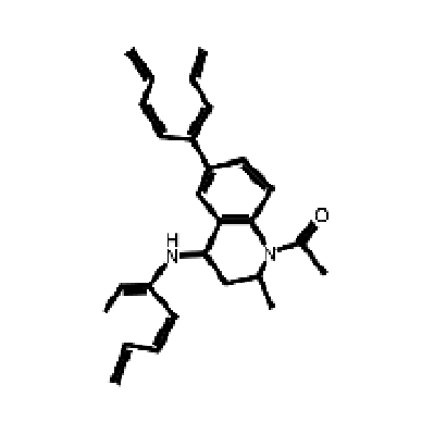 C=C/C=C\C(=C/C)NC1CC(C)N(C(C)=O)c2ccc(C(/C=C\C=C)=C/C=C)cc21